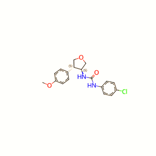 COc1ccc([C@@H]2COC[C@H]2NC(=O)Nc2ccc(Cl)cc2)cc1